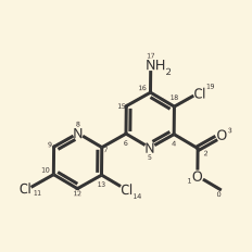 COC(=O)c1nc(-c2ncc(Cl)cc2Cl)cc(N)c1Cl